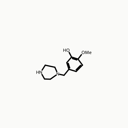 COc1ccc(CN2CCNCC2)cc1O